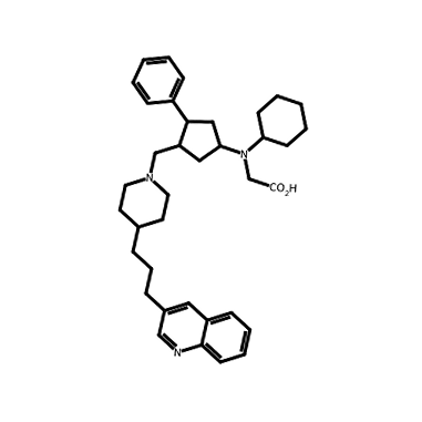 O=C(O)CN(C1CCCCC1)C1CC(CN2CCC(CCCc3cnc4ccccc4c3)CC2)C(c2ccccc2)C1